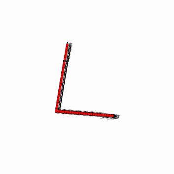 [Ag].[Ag].[Ag].[Ag].[Ag].[Ag].[Ag].[Ag].[Ag].[Ag].[Ag].[Ag].[Ag].[Ag].[Ag].[Ag].[Ag].[Ag].[Ag].[Ag].[Ag].[Ag].[Ag].[Ag].[Ag].[Pd].[Pd].[Pd].[Pd].[Pd].[Pd].[Pd].[Pd].[Pd].[Pd].[Pd].[Pd].[Pd].[Pd].[Pd].[Pd].[Pd].[Pd].[Pd].[Pd].[Pd].[Pd].[Pd].[Pd].[Pd].[Pd].[Pd].[Pd].[Pd].[Pd].[Pd].[Pd].[Pd].[Pd].[Pd].[Pd].[Pd].[Pd].[Pd].[Pd].[Pd].[Pd].[Pd].[Pd].[Pd].[Pd].[Pd].[Pd].[Pd].[Pd].[Pd].[Pd].[Pd].[Pd].[Pd].[Pd].[Pd].[Pd].[Pd].[Pd].[Pd].[Pd].[Pd].[Pd].[Pd].[Pd].[Pd].[Pd].[Pd].[Pd].[Pd].[Pd].[Pd].[Pd].[Pd]